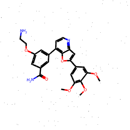 COc1cc(-c2cc3nccc(-c4cc(OCCN)cc(C(N)=O)c4)c3o2)cc(OC)c1OC